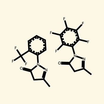 CC1=NN(c2c(F)c(F)c(F)c(F)c2F)C(=O)C1.CC1=NN(c2ccccc2C(F)(F)F)C(=O)C1